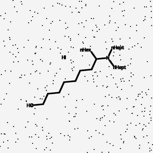 CCCCCCCN(CCCCCCC)C(CCCCCC)CCCCCCCO.I